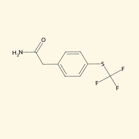 NC(=O)Cc1ccc(SC(F)(F)F)cc1